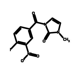 Cn1ccn(C(=O)c2ccc(I)c([N+](=O)[O-])c2)c1=O